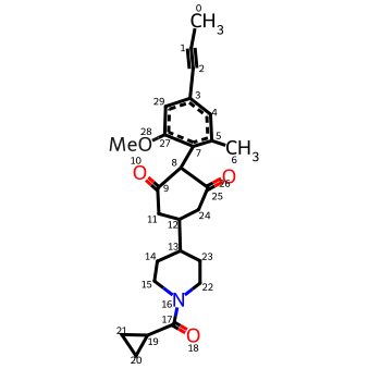 CC#Cc1cc(C)c(C2C(=O)CC(C3CCN(C(=O)C4CC4)CC3)CC2=O)c(OC)c1